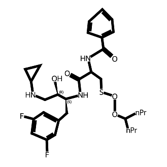 CCCC(CCC)OOSCC(NC(=O)c1ccccc1)C(=O)N[C@@H](Cc1cc(F)cc(F)c1)[C@H](O)CNC1CC1